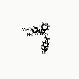 COc1ncc(-n2nc(OCCN3CCC(C(C)(C)O)CC3)c3c2CCOCC3)cc1C#N